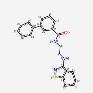 O=C(NCCNc1nsc2ccccc12)c1cccc(-c2ccccc2)c1